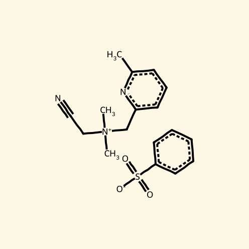 Cc1cccc(C[N+](C)(C)CC#N)n1.O=S(=O)([O-])c1ccccc1